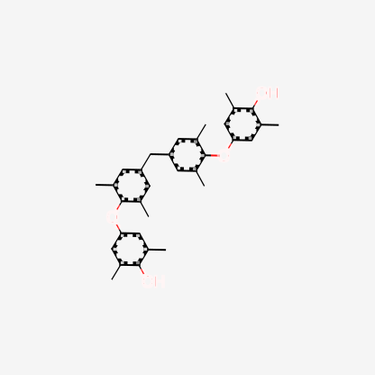 Cc1cc(Oc2c(C)cc(Cc3cc(C)c(Oc4cc(C)c(O)c(C)c4)c(C)c3)cc2C)cc(C)c1O